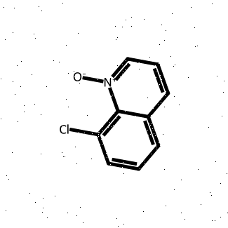 [O-][n+]1cccc2cccc(Cl)c21